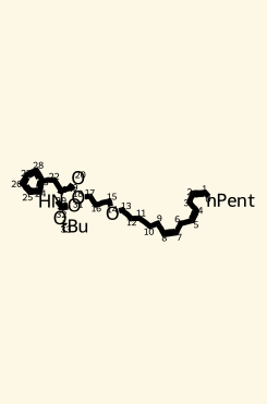 CCCCC/C=C\C/C=C\C/C=C\CCCCCOCCCOC(=O)C(Cc1ccccc1)NC(=O)OC(C)(C)C